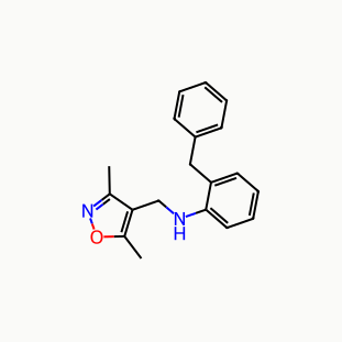 Cc1noc(C)c1CNc1ccccc1Cc1ccccc1